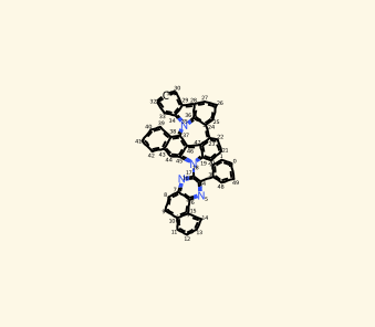 c1ccc(-c2nc3c(ccc4ccccc43)nc2-n2c3cccc4c5cccc6c7ccccc7n(c56)c5c6ccccc6cc2c5c43)cc1